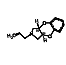 C=CCN1C[C@@H]2Oc3ccccc3O[C@H]2C1